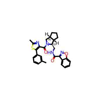 Cc1cccc(-c2sc(C)nc2C(=O)N2C[C@@H]3CCC[C@@H]3[C@H]2CNC(=O)c2noc3ccccc23)c1